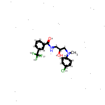 CN(CC(O)CNC(=O)c1cccc(C(F)(F)F)c1)c1ccc(Cl)cc1